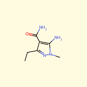 CCc1nn(C)c(N)c1C(N)=O